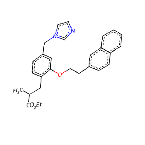 CCOC(=O)C(C)Cc1ccc(Cn2ccnc2)cc1OCCc1ccc2ccccc2c1